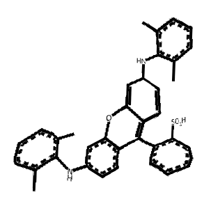 Cc1cccc(C)c1Nc1ccc2c(c1)OC1=CC(Nc3c(C)cccc3C)C=CC1=C2c1ccccc1S(=O)(=O)O